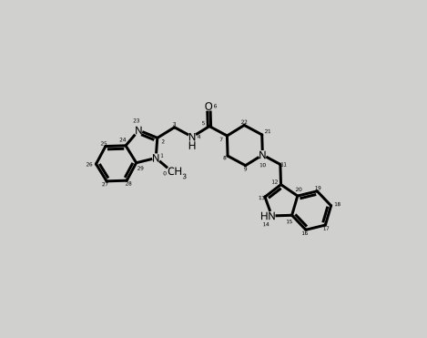 Cn1c(CNC(=O)C2CCN(Cc3c[nH]c4ccccc34)CC2)nc2ccccc21